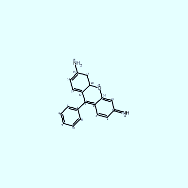 N=C1C=CC2=C(c3ccccc3)C3=CC=C(N)CC3OC2=C1